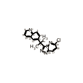 CC(C)(c1ccc2ncccc2c1)c1nnc2ccc(Cl)nn12